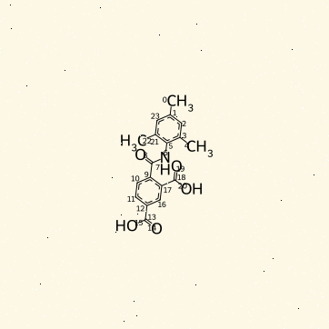 Cc1cc(C)c(NC(=O)c2ccc(C(=O)O)cc2C(=O)O)c(C)c1